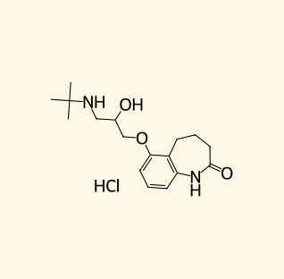 CC(C)(C)NCC(O)COc1cccc2c1CCCC(=O)N2.Cl